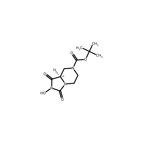 CC(C)(C)OC(=O)N1CCN2C(=O)N(O)C(=O)[C@H]2C1